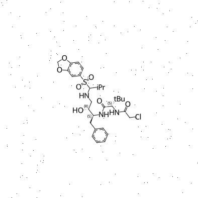 CC(C)C(NC[C@@H](O)[C@H](Cc1ccccc1)NC(=O)[C@@H](NC(=O)CCl)C(C)(C)C)S(=O)(=O)c1ccc2c(c1)OCO2